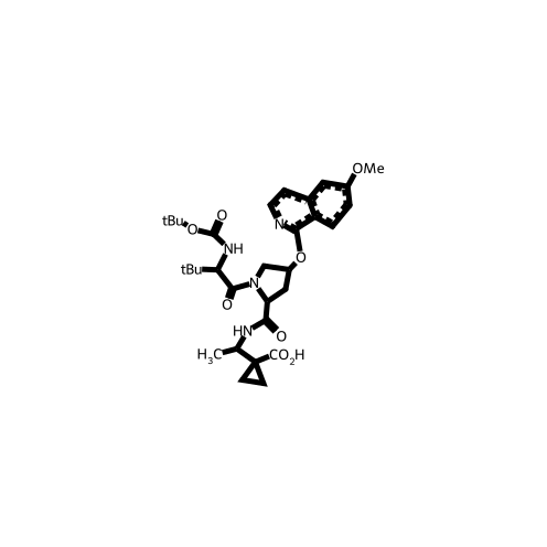 COc1ccc2c(OC3CC(C(=O)NC(C)C4(C(=O)O)CC4)N(C(=O)C(NC(=O)OC(C)(C)C)C(C)(C)C)C3)nccc2c1